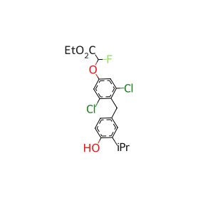 CCOC(=O)C(F)Oc1cc(Cl)c(Cc2ccc(O)c(C(C)C)c2)c(Cl)c1